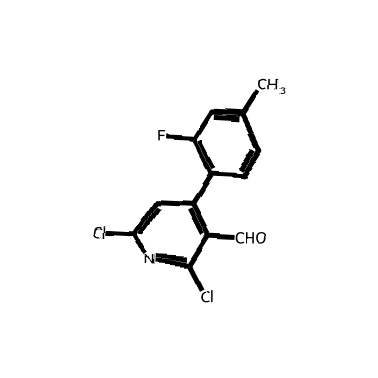 Cc1ccc(-c2cc(Cl)nc(Cl)c2C=O)c(F)c1